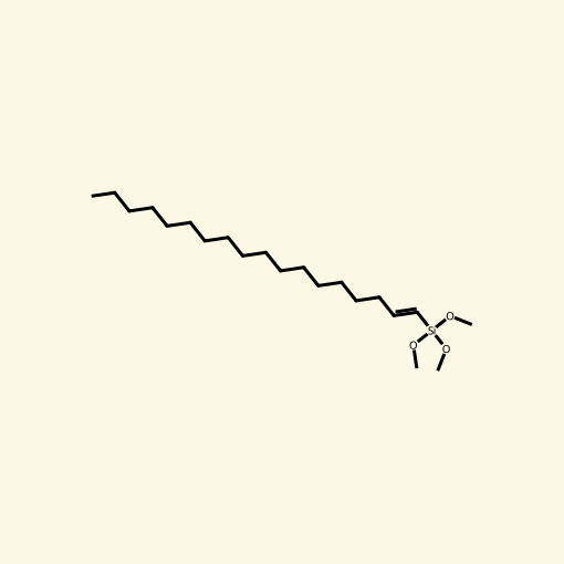 CCCCCCCCCCCCCCCCC=C[Si](OC)(OC)OC